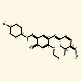 CCOC1=CC(=N)/C(=C\NC2CCC(O)CC2)C=C1/C=C/C=C\C(=N\O)C(C)C